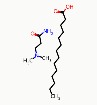 CCCCCCCCCCCCCC(=O)O.CN(C)CCC(N)=O